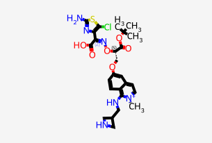 C[n+]1ccc2cc(OC[C@H](O/N=C(\C(=O)O)c3nc(N)sc3Cl)C(=O)OC(C)(C)C)ccc2c1NCC1CNC1